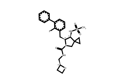 CS(=O)(=O)N[C@@H]1[C@H](Cc2cccc(-c3ccccc3)c2F)N(C(=O)NC[C@@H]2CCO2)CC12CC2